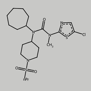 CCCS(=O)(=O)N1CCC(N(C(=O)N(C)c2ncc(Cl)s2)C2CCCCCC2)CC1